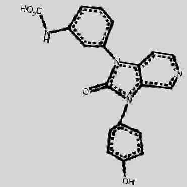 O=C(O)Nc1cccc(-n2c(=O)n(-c3ccc(O)cc3)c3cnccc32)c1